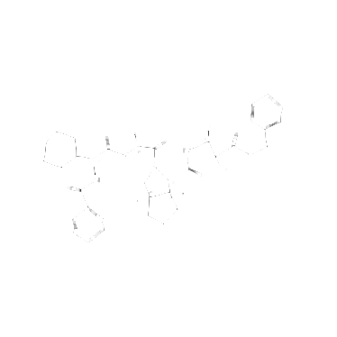 CCC[C@H](NC(=O)[C@@H]1[C@H]2CCC[C@H]2CN1C(=O)[C@@H](NC(=O)[C@@H](NC(=O)c1cnccn1)C1CCCCC1)C(C)(C)C)C(O)C(=O)N[C@@H](C)c1ccccc1